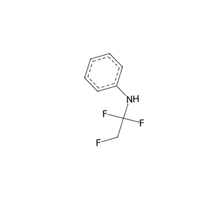 FCC(F)(F)Nc1ccccc1